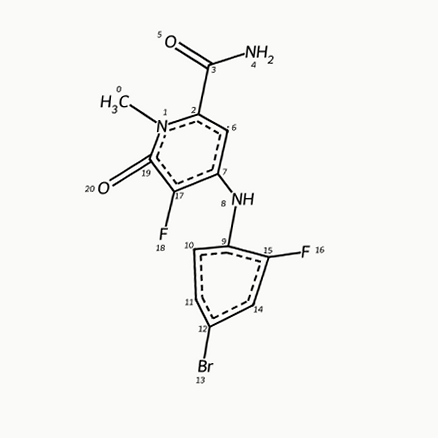 Cn1c(C(N)=O)[c]c(Nc2ccc(Br)cc2F)c(F)c1=O